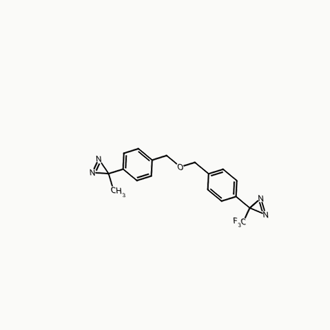 CC1(c2ccc(COCc3ccc(C4(C(F)(F)F)N=N4)cc3)cc2)N=N1